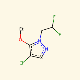 CCOc1c(Cl)[c]nn1CC(F)F